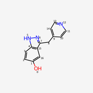 Oc1ccc2[nH]nc(Cc3ccncc3)c2c1